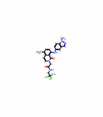 Cc1ccc(Nc2ccc3c(cnn3C)c2)c2c(=O)n(CC(=O)NCC(F)(F)F)ccc12